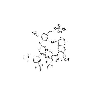 COc1cc(CCOP(=O)(O)O)ccc1OC(=O)O[C@H](c1cc(C(F)(F)F)cc(C(F)(F)F)c1)[C@H](C)NCc1cc(C(F)(F)F)ccc1-c1cc(C(C)C)c(F)cc1OC.Cl